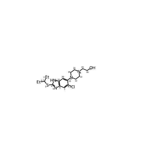 CCC(CC)Sc1nc2cc(Cl)c(N3CCN(CCO)CC3)cc2[nH]1